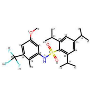 COc1cc(NS(=O)(=O)c2c(C(C)C)cc(C(C)C)cc2C(C)C)c(C)c(C(F)(F)F)c1